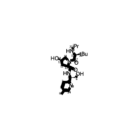 Cc1ccc([C@@H](CO)NC(=O)[C@@H]2C[C@@H](O)CN2C(=O)[C@@H](NC(C)C)C(C)(C)C)nc1